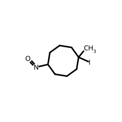 CC1(I)CCCC(N=O)CCC1